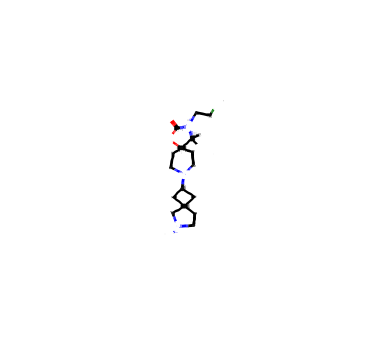 CCOC(=O)N1CCC2(CC(N3CCC4(CC3)OC(=O)N(CCF)C4(C)C)C2)C1